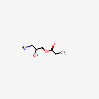 CCC(=O)OCC(O)CN